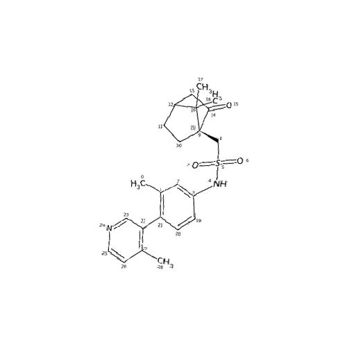 Cc1cc(NS(=O)(=O)C[C@]23CCC(CC2=O)C3(C)C)ccc1-c1cnccc1C